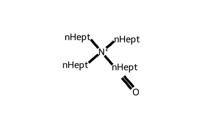 C=O.CCCCCCC[N+](CCCCCCC)(CCCCCCC)CCCCCCC